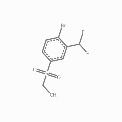 CCS(=O)(=O)c1ccc(Br)c(C(F)F)c1